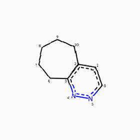 c1cc2c(nn1)CCCCC2